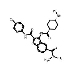 CC(C)N[C@H]1CC[C@H](C(=O)Nc2c(C(=O)Nc3ccc(Cl)cn3)oc3ccc(C(=O)N(C)C)cc23)CC1